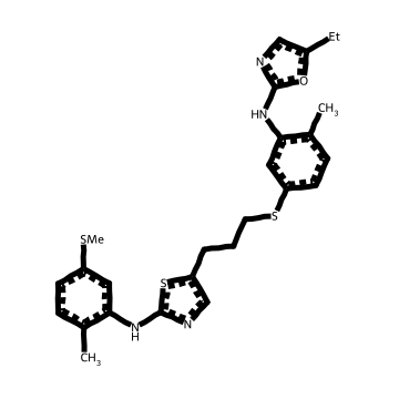 CCc1cnc(Nc2cc(SCCCc3cnc(Nc4cc(SC)ccc4C)s3)ccc2C)o1